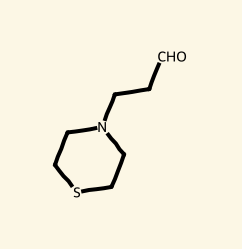 O=CCCN1CCSCC1